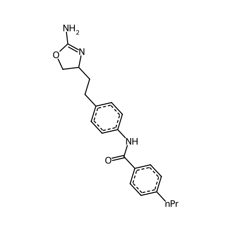 CCCc1ccc(C(=O)Nc2ccc(CCC3COC(N)=N3)cc2)cc1